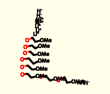 COCC[O-].COCC[O-].COCC[O-].COCC[O-].COCC[O-].COCC[O-].COCC[O-].COCC[O-].[Al+3].[Al+3].[Al+3].[H-].[H-].[H-].[H-].[Li+].[Li+].[Li+]